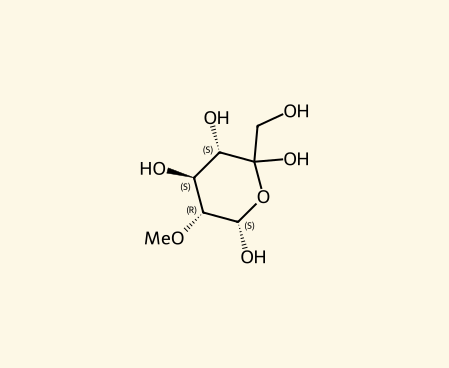 CO[C@@H]1[C@@H](O)[C@H](O)C(O)(CO)O[C@@H]1O